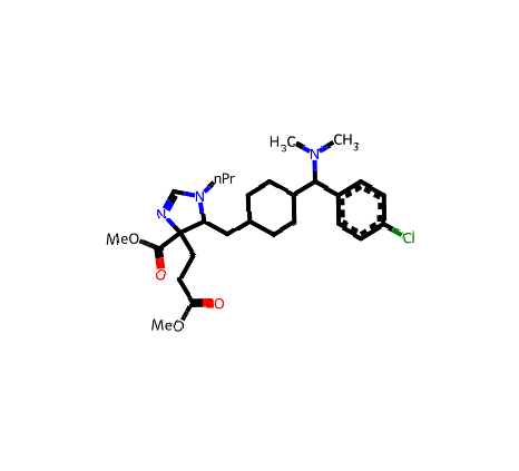 CCCN1C=NC(CCC(=O)OC)(C(=O)OC)C1CC1CCC(C(c2ccc(Cl)cc2)N(C)C)CC1